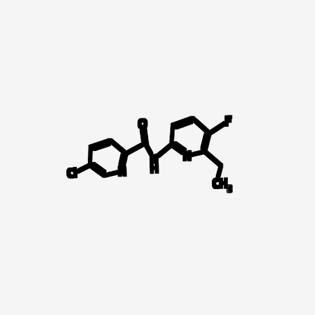 CCc1nc(NC(=O)c2ccc(Cl)cn2)ccc1F